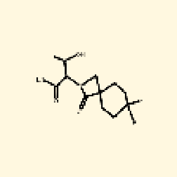 CC(O)C(C(N)=O)N1CC2(CCC(F)(F)CC2)C1=O